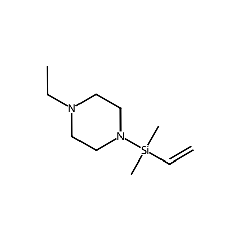 C=C[Si](C)(C)N1CCN(CC)CC1